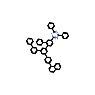 c1ccc(-c2cccc(-c3cc(-c4ccc(-c5cccc6ccccc56)cc4)cc(-c4ccc(-c5nc(-c6ccccc6)nc(-c6ccccc6)n5)cc4-c4ccccc4)c3)c2)cc1